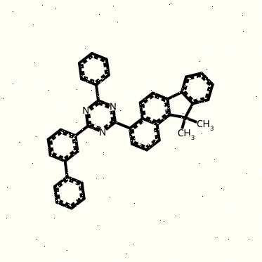 CC1(C)c2ccccc2-c2ccc3c(-c4nc(-c5ccccc5)nc(-c5cccc(-c6ccccc6)c5)n4)cccc3c21